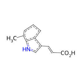 Cc1cccc2c(C=CC(=O)O)c[nH]c12